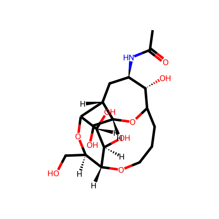 CC(=O)N[C@@H]1C[C@H]2C3O[C@H](CO)[C@@H](OCCCC(O[C@@H]2CO)[C@H]1O)[C@H](O)[C@H]3O